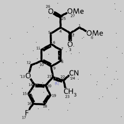 COCC(=O)C(Cc1ccc2c(c1)COc1cc(F)ccc1/C2=C(\C)C#N)C(=O)OC